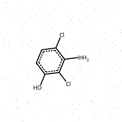 Oc1ccc(Cl)[c]([InH2])c1Cl